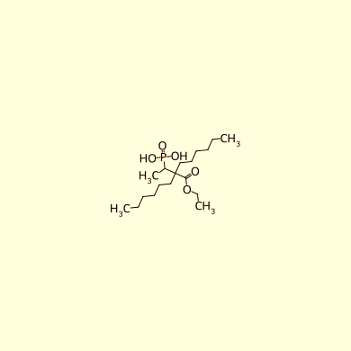 CCCCCCC(CCCCCC)(C(=O)OCC)C(C)P(=O)(O)O